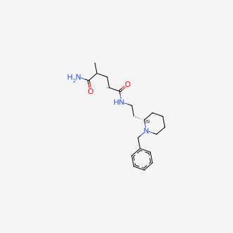 CC(C[CH]C(=O)NCC[C@@H]1CCCCN1Cc1ccccc1)C(N)=O